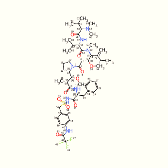 CC[C@H](C)[C@@H]([C@@H](CC(=O)N1CCC[C@H]1[C@H](OC)[C@@H](C)C(=O)N[C@@H](Cc1ccccc1)C(=O)NS(=O)(=O)Cc1ccc(NC(=O)C(F)(F)F)cc1)OC)N(C)C(=O)[C@@H](NC(=O)C(C(C)C)N(C)C)C(C)C